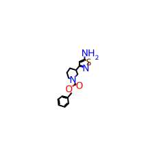 Nc1cc(C2CCCN(C(=O)OCc3ccccc3)C2)ns1